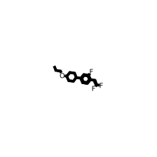 CCCOC1CCC(c2ccc(C=C(F)F)c(F)c2)CC1